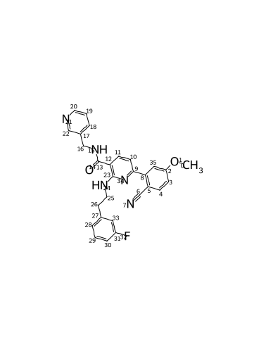 COc1ccc(C#N)c(-c2ccc(C(=O)NCc3cccnc3)c(NCCc3cccc(F)c3)n2)c1